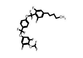 CCCCCc1cc(F)c(C(F)(F)Oc2ccc(C(F)(F)Oc3cc(F)c(OC(F)F)c(F)c3)cc2)c(F)c1